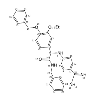 CCOc1cc([C@H](Nc2ccc(C(=N)N)cc2)C(=O)NCc2ccccc2)ccc1OCc1ccccc1